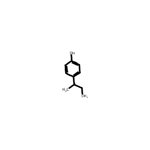 CCC(C)c1ccc(O)cc1